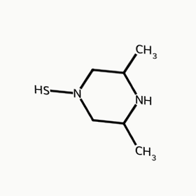 CC1CN(S)CC(C)N1